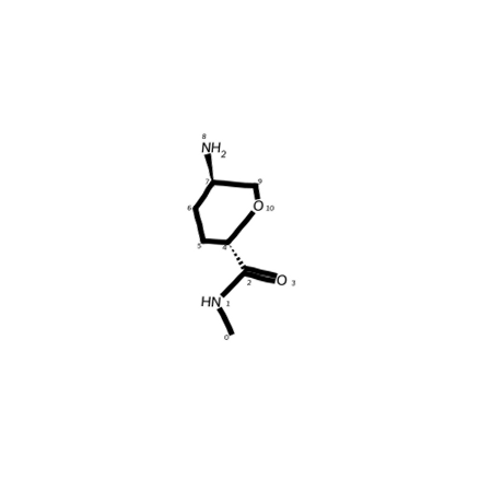 CNC(=O)[C@@H]1CC[C@@H](N)CO1